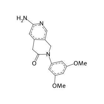 COc1cc(OC)cc(N2Cc3cnc(N)cc3CC2=O)c1